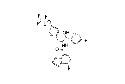 O=C(NC(Cc1ccc(OC(F)(F)C(F)F)cc1)C(O)c1ccc(F)cc1)c1ccc(F)c2ccccc12